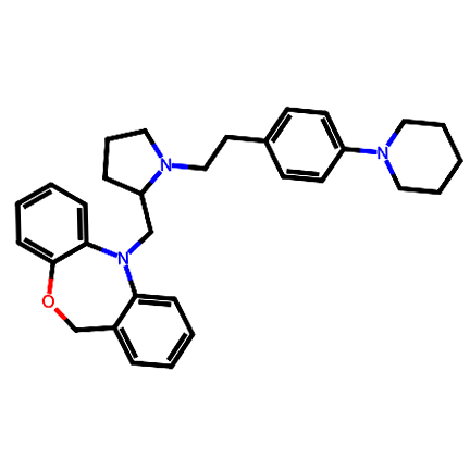 c1ccc2c(c1)COc1ccccc1N2CC1CCCN1CCc1ccc(N2CCCCC2)cc1